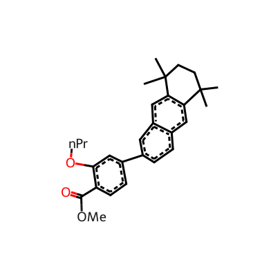 CCCOc1cc(-c2ccc3cc4c(cc3c2)C(C)(C)CCC4(C)C)ccc1C(=O)OC